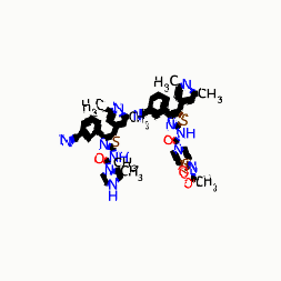 CC(=O)N=S1(=O)C=CN(C(=O)Nc2nc(-c3cccc(C#N)c3)c(-c3cc(C)nc(C)c3)s2)C=C1.Cc1cc(-c2sc(NC(=O)N3CCNCC3(C)C)nc2-c2cccc(C#N)c2)cc(C)n1